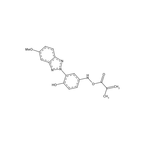 C=C(C)C(=O)ONc1ccc(O)c(-n2nc3ccc(OC)cc3n2)c1